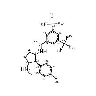 CN[C@H]1CC[C@H](N[C@H](C)c2cc(C(F)(F)F)cc(C(F)(F)F)c2)[C@H]1c1ccc(F)cc1